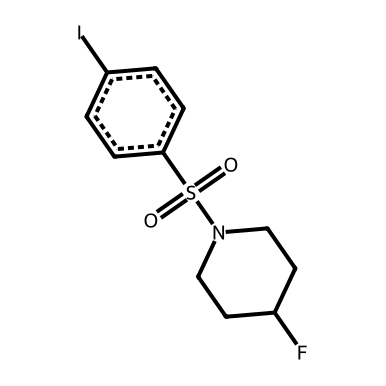 O=S(=O)(c1ccc(I)cc1)N1CCC(F)CC1